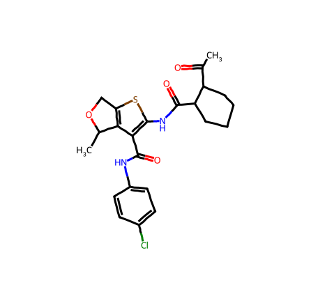 CC(=O)C1CCCCC1C(=O)Nc1sc2c(c1C(=O)Nc1ccc(Cl)cc1)C(C)OC2